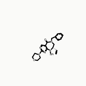 C=C[C@H]1CN(Cc2ccccc2)C(=O)c2cnc(N3CCOCC3)nc2N1CCC